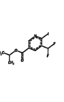 CC(C)OC(=O)c1cnc(I)c(C(F)F)c1